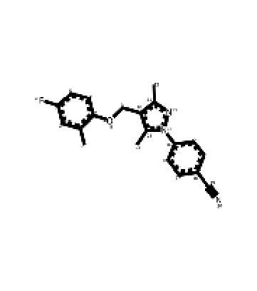 Cc1cc(F)ccc1OCc1c(C)nn(-c2ccc(C#N)cc2)c1C